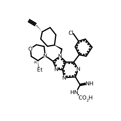 C#C[C@H]1CC[C@H](Cn2c(N3CCOC[C@H]3CC)nc3nc(C(=N)NC(=O)O)nc(-c4cccc(Cl)c4)c32)CC1